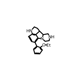 CCOc1ccccc1-c1ccc2c3c1N1CCNCC1C3CCN2